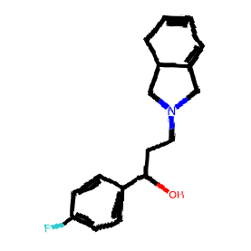 OC(CCN1CC2=CC=CCC2C1)c1ccc(F)cc1